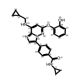 O=C(NC1CC1)c1ccc(-c2cnc3c(NCC4CC4)cc(Oc4ccccc4O)nn23)cc1